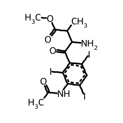 COC(=O)C(C)C(N)C(=O)c1c(I)cc(I)c(NC(C)=O)c1I